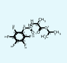 CC(C)OC(=O)[C@H](C)N[PH](=O)Oc1c(F)c(F)c(F)c(F)c1F